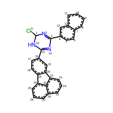 ClC1N=C(c2ccc3ccccc3c2)N=C(c2ccc3c(c2)-c2cccc4cccc-3c24)N1